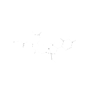 CC(C)OC(=O)OCOP(=O)(OCOC(=O)OC(C)C)OC1C2(CF)OC(n3ccc(=O)[nH]c3=O)C(C)(O)C12O